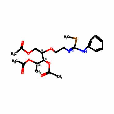 CS/C(=N\CCO[C@H](COC(C)=O)[C@@H](OC(C)=O)[C@@H](C)OC(C)=O)Nc1ccccc1